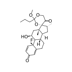 CCCC1(OC)OCC(=O)[C@@]2(O1)[C@H](C)C[C@H]1[C@@H]3CCC4=CC(=O)C=C[C@]4(C)[C@@]3(F)[C@@H](O)C[C@@]12C